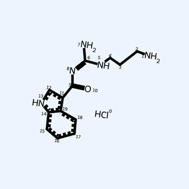 Cl.NCCCNC(N)=NC(=O)c1c[nH]c2ccccc12